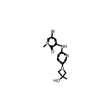 Cn1cc(Br)cc(Nc2ccc(N3CC(C)(O)C3)cn2)c1=O